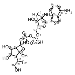 C[C@@]1(N)[C@H](O)[C@@H](COP(=O)(S)OP(=O)(O)OC2OC3(O)C2C(O)C(O)C3[C@@H](F)CO)O[C@H]1c1snc2c(N)ncnc12